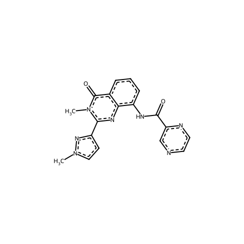 Cn1ccc(-c2nc3c(NC(=O)c4cnccn4)cccc3c(=O)n2C)n1